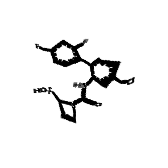 O=C(O)C1CCN1C(=O)Nc1cc(Cl)ccc1-c1ccc(F)cc1F